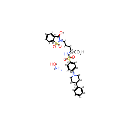 NO.O=C(O)[C@@H](CCCN1C(=O)c2ccccc2S1(=O)=O)NS(=O)(=O)c1ccc(N2CCC(c3ccccc3)CC2)cc1